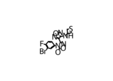 O=c1onc(-c2nonc2NC2CSC2)n1-c1ccc(F)c(Br)c1